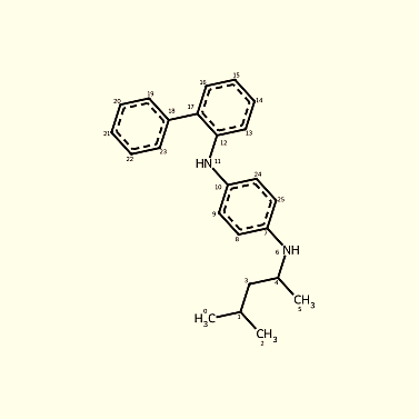 CC(C)CC(C)Nc1ccc(Nc2ccccc2-c2ccccc2)cc1